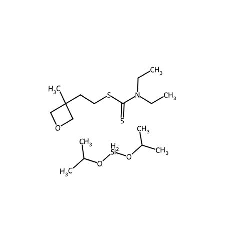 CC(C)O[SiH2]OC(C)C.CCN(CC)C(=S)SCCC1(C)COC1